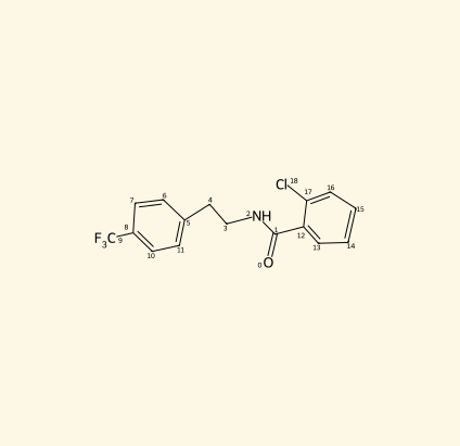 O=C(NCCc1ccc(C(F)(F)F)cc1)c1ccccc1Cl